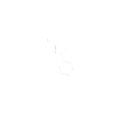 NC1=NC(c2ccncc2)CS1